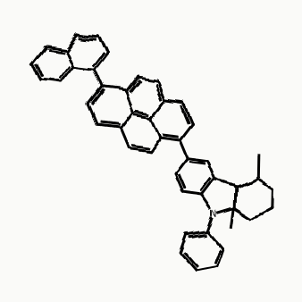 CC1CCCC2(C)C1c1cc(-c3ccc4ccc5c(-c6cccc7ccccc67)ccc6ccc3c4c65)ccc1N2c1ccccc1